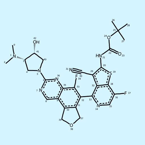 CN(C)[C@H]1CN(c2ncc3c4c(c(-c5ncc(F)c6sc(NC(=O)OC(C)(C)C)c(C#N)c56)c(F)c3n2)COC4)C[C@H]1O